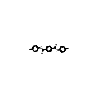 CC1=CC=C(OC(=O)c2ccc(C(=O)Oc3ccc(C)cc3)cc2)CC1